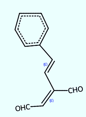 O=C/C=C(C=O)\C=C\c1ccccc1